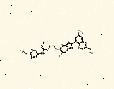 COc1cnc2c(-c3nc4cc(F)c(OC[C@@H](C)OC(=O)Nc5cnc(OC)nc5)nc4s3)cc(C)cc2n1